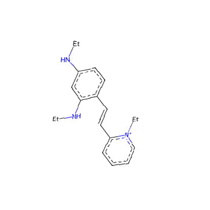 CCNc1ccc(C=Cc2cccc[n+]2CC)c(NCC)c1